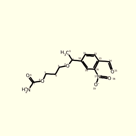 CC(OCCCOC(N)=O)c1ccc(C=O)c([N+](=O)[O-])c1